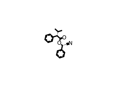 CC(C)[C@H](C(=O)O[C@H](C#N)c1ccccc1)c1ccccc1